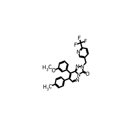 COc1cccc(-c2c(-c3ccc(C)cc3)cnn3c(=O)n(Cc4ccc(C(F)(F)F)nc4)nc23)c1